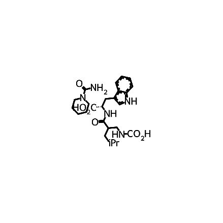 CC(C)CC(CNC(=O)O)C(=O)N[C@@H](Cc1c[nH]c2ccccc12)C(=O)O.NC(=O)N1CCCCC1